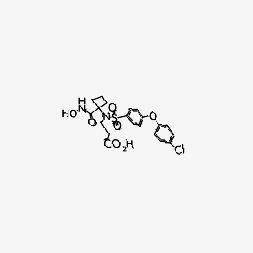 O=C(O)CCN(C1(C(=O)NO)CCC1)S(=O)(=O)c1ccc(Oc2ccc(Cl)cc2)cc1